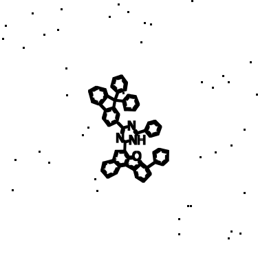 c1ccc(C2=NC(c3ccc4c(c3)C(c3ccccc3)(c3ccccc3)c3ccccc3-4)=NC(c3cc4ccccc4c4c3oc3c(-c5ccccc5)cccc34)N2)cc1